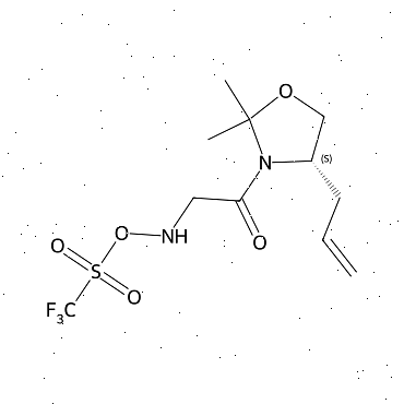 C=CC[C@H]1COC(C)(C)N1C(=O)CNOS(=O)(=O)C(F)(F)F